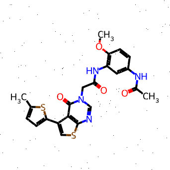 COc1ccc(NC(C)=O)cc1NC(=O)Cn1cnc2scc(-c3ccc(C)s3)c2c1=O